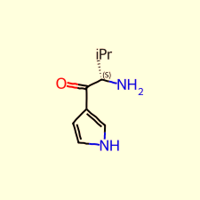 CC(C)[C@H](N)C(=O)c1cc[nH]c1